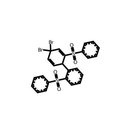 O=S(=O)(C1=CC(Br)(Br)C=CC1c1ccccc1S(=O)(=O)c1ccccc1)c1ccccc1